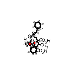 CC([C@@H](O[Si](C)(C)C(C)(C)C)C(=O)O)[C@](C)(CP(=O)(OCc1ccccc1)OCc1ccccc1)C(=O)O